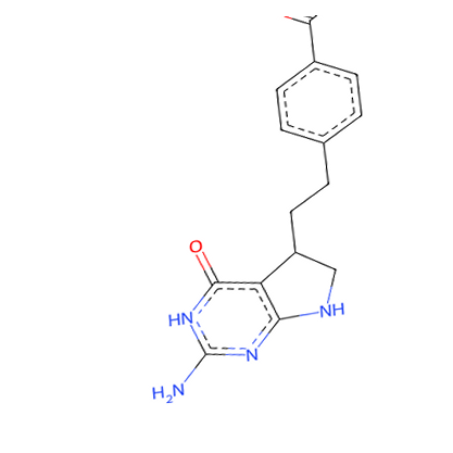 Nc1nc2c(c(=O)[nH]1)C(CCc1ccc(C(=O)O)cc1)CN2